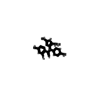 CC(C)(C)c1cc(N(C(=O)c2ccc(Cl)cc2F)C2CCC(O)CC2)c(C(=O)O)s1